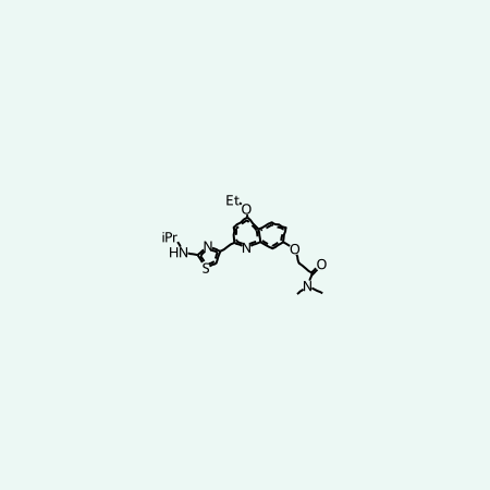 CCOc1cc(-c2csc(NC(C)C)n2)nc2cc(OCC(=O)N(C)C)ccc12